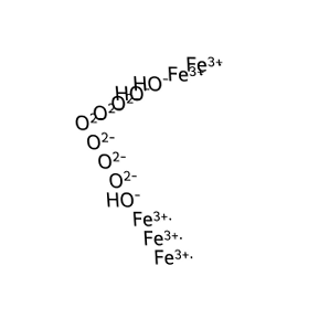 [Fe+3].[Fe+3].[Fe+3].[Fe+3].[Fe+3].[O-2].[O-2].[O-2].[O-2].[O-2].[O-2].[OH-].[OH-].[OH-]